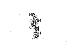 CC(Nc1ccco1)n1cc(-c2cc(O)c(C(=O)NCC(=O)O)nc2Cl)nn1